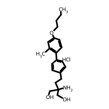 CCCCOc1ccc(-c2ccc(CCC(N)(CO)CO)cc2)c(C)c1.Cl